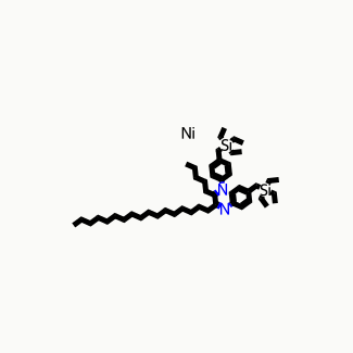 CCCCCCCCCCCCCCCCCC(=Nc1ccc(C[Si](CC)(CC)CC)cc1)C(CCCCC)=Nc1ccc(C[Si](CC)(CC)CC)cc1.[Ni]